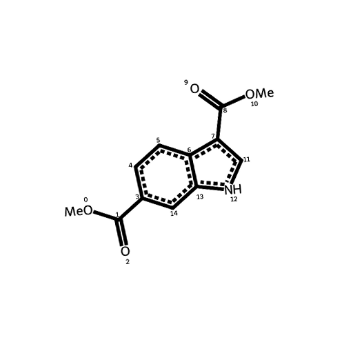 COC(=O)c1ccc2c(C(=O)OC)c[nH]c2c1